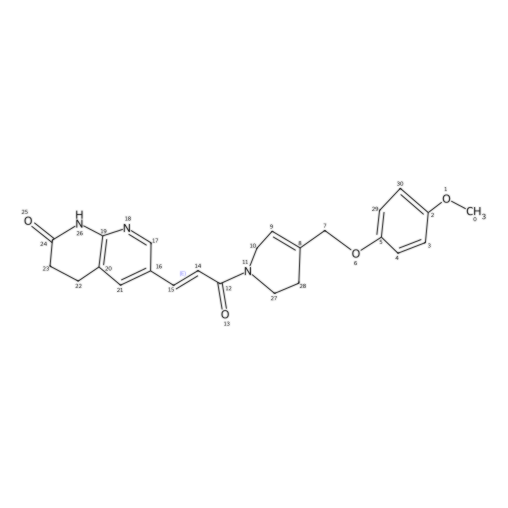 COc1ccc(OCC2=CCN(C(=O)/C=C/c3cnc4c(c3)CCC(=O)N4)CC2)cc1